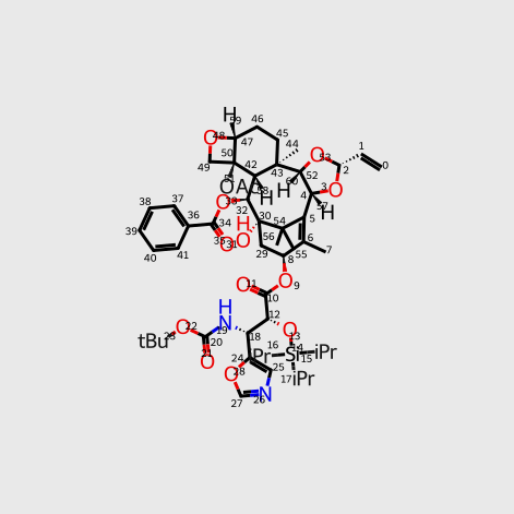 C=C[C@@H]1O[C@@H]2C3=C(C)[C@@H](OC(=O)[C@H](O[Si](C(C)C)(C(C)C)C(C)C)[C@@H](NC(=O)OC(C)(C)C)c4cnco4)C[C@@](O)([C@@H](OC(=O)c4ccccc4)[C@H]4[C@@](C)(CC[C@H]5OC[C@]54OC(C)=O)[C@@H]2O1)C3(C)C